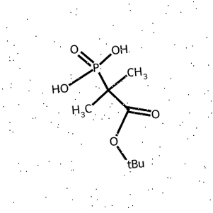 CC(C)(C)OC(=O)C(C)(C)P(=O)(O)O